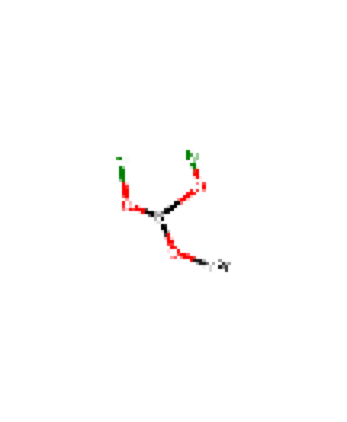 CCCOB(OBr)OBr